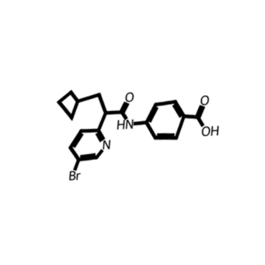 O=C(O)c1ccc(NC(=O)C(CC2CCC2)c2ccc(Br)cn2)cc1